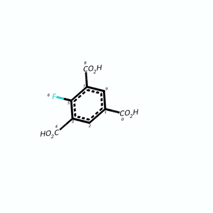 O=C(O)c1cc(C(=O)O)c(F)c(C(=O)O)c1